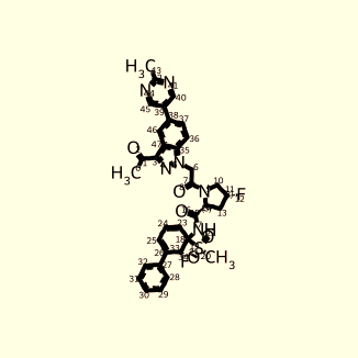 CC(=O)c1nn(CC(=O)N2C[C@H](F)C[C@H]2C(=O)NC2(S(C)(=O)=O)C=CC=C(c3ccccc3)C2F)c2ccc(-c3cnc(C)nc3)cc12